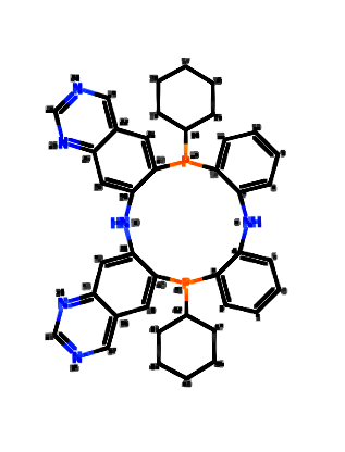 c1ccc2c(c1)Nc1ccccc1P(C1CCCCC1)c1cc3cncnc3cc1Nc1cc3ncncc3cc1P2C1CCCCC1